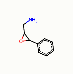 NCC1OC1c1ccccc1